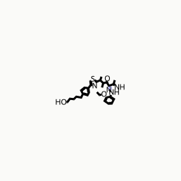 CCOc1ccccc1N/N=C(\C(C)=N)C(=O)C(C)C(C)c1nc(-c2ccc(CCCCCO)cc2)cs1